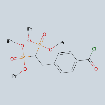 CC(C)OP(=O)(OC(C)C)C(Cc1ccc(C(=O)Cl)cc1)P(=O)(OC(C)C)OC(C)C